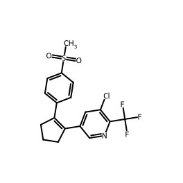 CS(=O)(=O)c1ccc(C2=C(c3cnc(C(F)(F)F)c(Cl)c3)CCC2)cc1